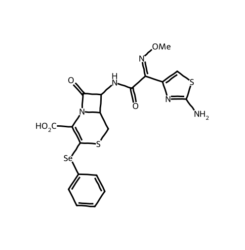 CON=C(C(=O)NC1C(=O)N2C(C(=O)O)=C([Se]c3ccccc3)SCC12)c1csc(N)n1